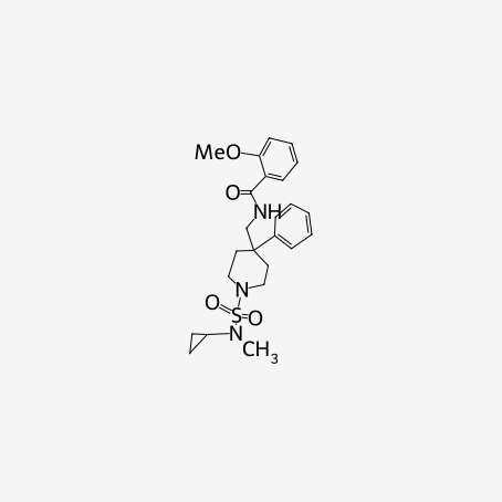 COc1ccccc1C(=O)NCC1(c2ccccc2)CCN(S(=O)(=O)N(C)C2CC2)CC1